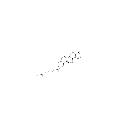 CC(=O)O[C@H]1CC[C@]2(C)[C@H]3C(=O)C=C4C(CC[C@@]5(C)CC[C@](C)(C(=O)NCCCNC(=O)OC(C)(C)C)C[C@@H]45)[C@]3(C)CC[C@H]2C1(C)C